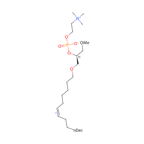 CCCCCCCCCCCC/C=C\CCCCCOC[C@H](COC)OP(=O)([O-])OCC[N+](C)(C)C